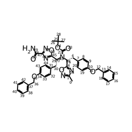 Cc1noc([C@@H](Cc2ccc(OCc3ccccc3)cc2)N(C(=O)OC(C)(C)C)[C@H](Cc2ccc(OCc3ccccc3)cc2)c2nc(C(N)=O)no2)n1